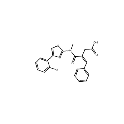 CN(C(=O)C(=Cc1ccccc1)CC(=O)O)c1nc(-c2ccccc2Cl)cs1